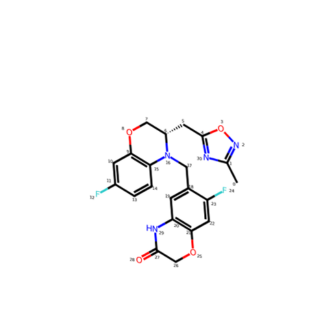 Cc1noc(C[C@H]2COc3cc(F)ccc3N2Cc2cc3c(cc2F)OCC(=O)N3)n1